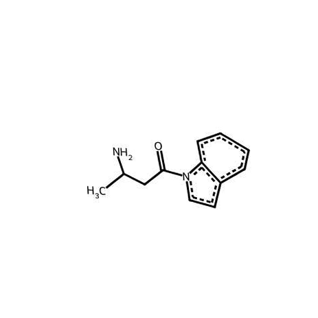 CC(N)CC(=O)n1ccc2ccccc21